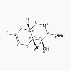 COC1OC[C@H]2CC(C)=CC[C@@]2(Br)[C@@H]1O